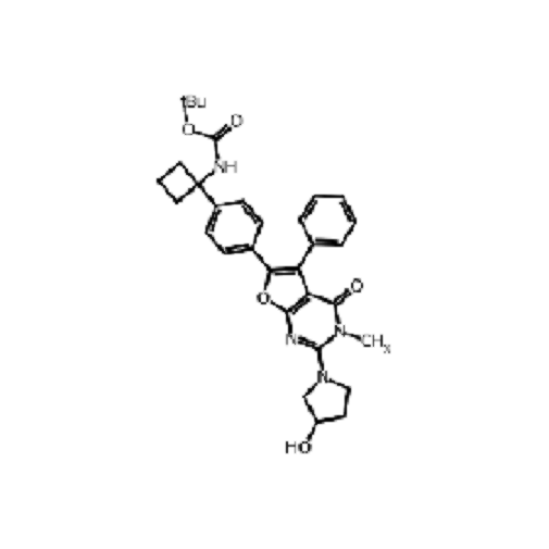 Cn1c(N2CCC(O)C2)nc2oc(-c3ccc(C4(NC(=O)OC(C)(C)C)CCC4)cc3)c(-c3ccccc3)c2c1=O